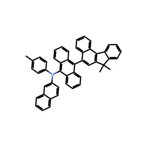 Cc1ccc(N(c2ccc3ccccc3c2)c2c3ccccc3c(-c3cc4c(c5ccccc35)-c3ccccc3C4(C)C)c3ccccc23)cc1